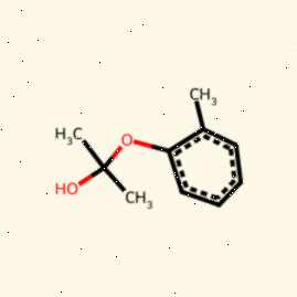 Cc1ccccc1OC(C)(C)O